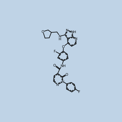 O=C(Nc1ccc(Oc2ccnc3[nH]nc(NCC4CCOC4)c23)c(F)c1)c1ccnn(-c2ccc(F)cc2)c1=O